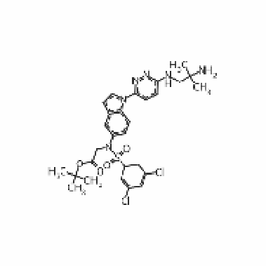 CC(C)(N)CNc1ccc(-n2ccc3cc(N(CC(=O)OC(C)(C)C)S(=O)(=O)C4C=C(Cl)C=C(Cl)C4)ccc32)nn1